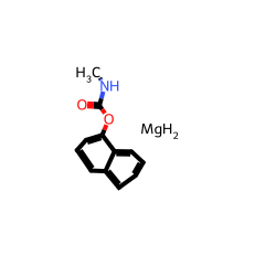 CNC(=O)Oc1cccc2ccccc12.[MgH2]